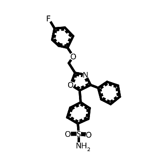 NS(=O)(=O)c1ccc(-c2oc(COc3ccc(F)cc3)nc2-c2ccccc2)cc1